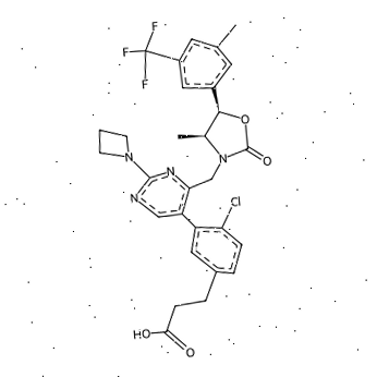 Cc1cc([C@H]2OC(=O)N(Cc3nc(N4CCC4)ncc3-c3cc(CCC(=O)O)ccc3Cl)[C@H]2C)cc(C(F)(F)F)c1